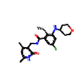 COc1c(NC2CCOCC2)cc(Cl)cc1C(=O)NCc1c(C)cc(C)[nH]c1=O